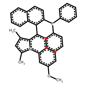 COc1ccc2nc(-c3c(P(c4ccccc4)c4ccccc4)ccc4ccccc34)c3c(C)cc(C)n3c2c1